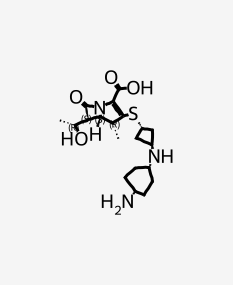 C[C@@H](O)[C@H]1C(=O)N2C(C(=O)O)=C(S[C@H]3C[C@H](N[C@H]4CC[C@@H](N)CC4)C3)[C@H](C)[C@H]12